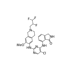 COc1cc2c(cc1Nc1ncc(Cl)c(Nc3cccc4c3C(=O)NC4)n1)CCN(CC(F)C(F)F)C2